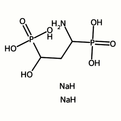 NC(CC(O)P(=O)(O)O)P(=O)(O)O.[NaH].[NaH]